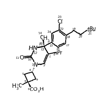 CC(C)C1=CN([C@H]2C[C@](C)(C(=O)O)C2)C(=O)N[C@]1(C)c1ccc(CCC(C)(C)C)c(Cl)c1